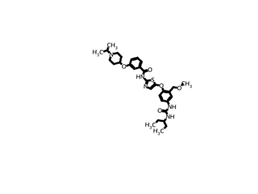 CCC(CC)NC(=O)Nc1ccc(Oc2cnc(NC(=O)c3cccc(OC4CCN(C(C)C)CC4)c3)s2)c(COC)c1